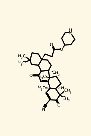 CC1(C)CC[C@]2(CCC(=O)OC3CCNCC3)CC[C@]3(C)C(C(=O)C=C4[C@@]5(C)C=C(C#N)C(=O)C(C)(C)[C@@H]5CC[C@]43C)C2C1